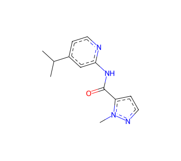 CC(C)c1ccnc(NC(=O)c2ccnn2C)c1